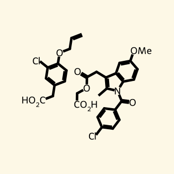 C=CCOc1ccc(CC(=O)O)cc1Cl.COc1ccc2c(c1)c(CC(=O)OCC(=O)O)c(C)n2C(=O)c1ccc(Cl)cc1